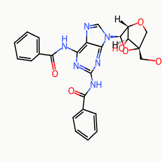 O=C(Nc1nc(NC(=O)c2ccccc2)c2ncn([C@@H]3O[C@@]4(CO)CO[C@@H]3[C@@H]4O)c2n1)c1ccccc1